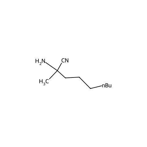 CCCCCCCC(C)(N)C#N